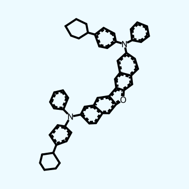 c1ccc(N(c2ccc(C3CCCCC3)cc2)c2ccc3cc4oc5cc6ccc(N(c7ccccc7)c7ccc(C8CCCCC8)cc7)cc6cc5c4cc3c2)cc1